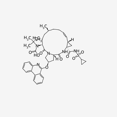 C[C@H]1CCC=C[C@@H]2C[C@@]2(C(=O)NS(=O)(=O)C2CC2)NC(=O)[C@@H]2C[C@@H](Oc3nc4ccccc4c4ccccc34)CN2C(=O)[C@@H](N(C(=O)O)C(C)(C)C)[C@H](C)C1